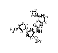 CCCOc1cnc(-c2cccc(C(F)(F)F)c2)nc1NC(=O)Nc1ccnc(N2CCC2)c1